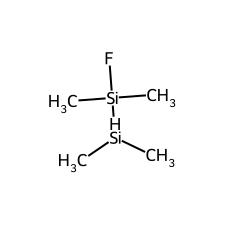 C[SiH](C)[Si](C)(C)F